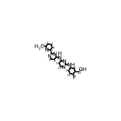 Cc1cccc(-c2nccc(Nc3ccnc(Nc4ccc(F)c(CO)c4)n3)n2)n1